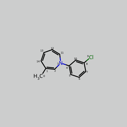 CC1=CN(c2cccc(Cl)c2)C=CC=C1